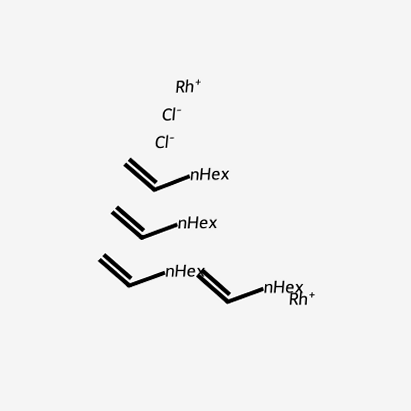 C=CCCCCCC.C=CCCCCCC.C=CCCCCCC.C=CCCCCCC.[Cl-].[Cl-].[Rh+].[Rh+]